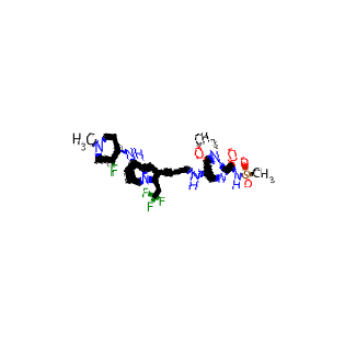 COc1nc(C(=O)NS(C)(=O)=O)ncc1NCC#Cc1cc2c(N[C@@H]3CCN(C)C[C@@H]3F)cccn2c1CC(F)(F)F